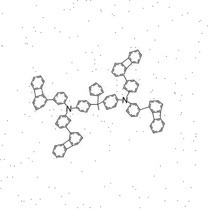 CC(c1ccccc1)(c1ccc(N(c2cccc(-c3cccc4c3-c3ccccc3-4)c2)c2cccc(-c3cccc4c3-c3ccccc3-4)c2)cc1)c1ccc(N(c2cccc(-c3cccc4c3-c3ccccc3-4)c2)c2cccc(-c3cccc4c3-c3ccccc3-4)c2)cc1